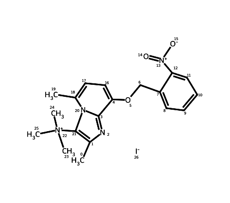 Cc1nc2c(OCc3ccccc3[N+](=O)[O-])ccc(C)n2c1[N+](C)(C)C.[I-]